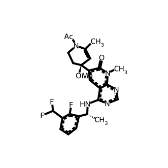 CO[C@]1(c2cc3c(N[C@H](C)c4cccc(C(F)F)c4F)ncnc3n(C)c2=O)C=C(C)N(C(C)=O)CC1